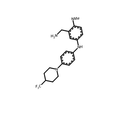 CNc1ccc(Nc2ccc(N3CCC(C(F)(F)F)CC3)cc2)cc1CN